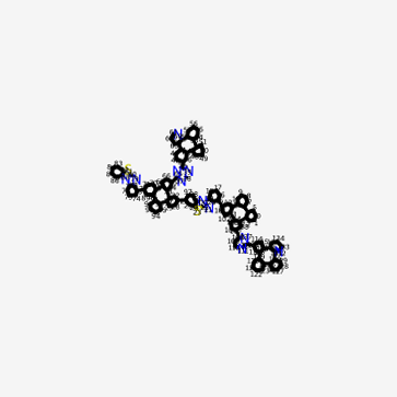 c1ccc2c(c1)-c1ccccc1-c1cc(-c3cccc4c3nc3sc5cc(-c6ccc7c(c6)-c6cc(-c8ncnc(-c9ccc%10c(c9)-c9ccccc9-c9ccccc9-c9ncccc9-%10)n8)ccc6-c6ccc(-c8cccc9c8nc8sc%10ccccc%10n89)cc6-c6ccccc6-7)ccc5n34)ccc1-c1ccc(-c3ccnc(-c4ccc5c(c4)-c4ccccc4-c4ccccc4-c4ncccc4-5)n3)cc1-2